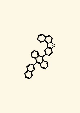 C1=Cc2ccc3oc4ccc(-c5c6ccccc6c(-c6ccc7ccccc7c6)c6ccccc56)cc4c3c2CC1